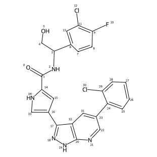 O=C(NC(CO)c1ccc(F)c(Cl)c1)c1cc(-c2n[nH]c3ncc(-c4ccccc4Cl)cc23)c[nH]1